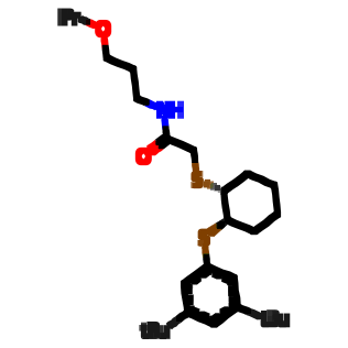 CC(C)OCCCNC(=O)CS[C@@H]1CCCC[C@H]1Sc1cc(C(C)(C)C)cc(C(C)(C)C)c1